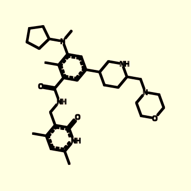 Cc1cc(C)c(CNC(=O)c2cc(C3CCC(CN4CCOCC4)NC3)cc(N(C)C3CCCC3)c2C)c(=O)[nH]1